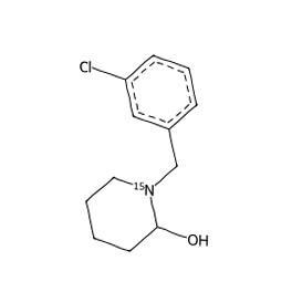 OC1CCCC[15N]1Cc1cccc(Cl)c1